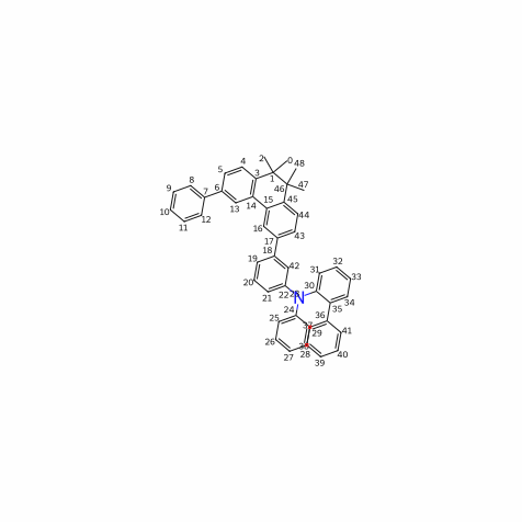 CC1(C)c2ccc(-c3ccccc3)cc2-c2cc(-c3cccc(N(c4ccccc4)c4ccccc4-c4ccccc4)c3)ccc2C1(C)C